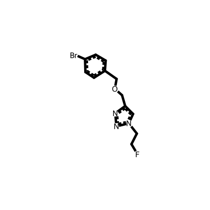 FCCn1cc(COCc2ccc(Br)cc2)nn1